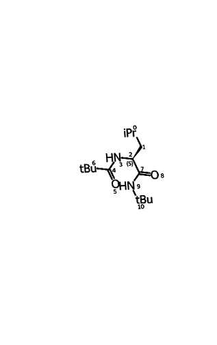 CC(C)C[C@H](NC(=O)C(C)(C)C)C(=O)NC(C)(C)C